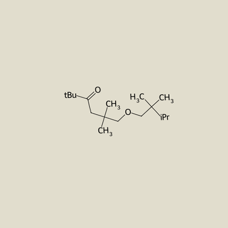 CC(C)C(C)(C)COCC(C)(C)CC(=O)C(C)(C)C